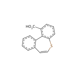 O=C(O)c1cccc2c1-c1ccccc1C=CS2